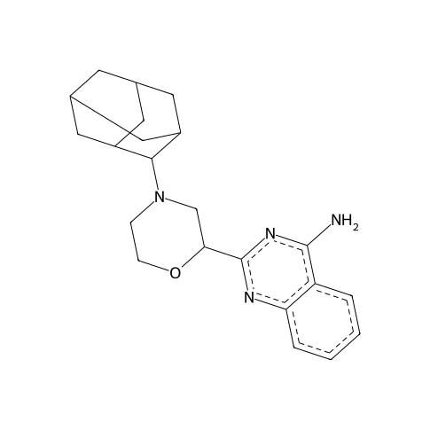 Nc1nc(C2CN(C3C4CC5CC(C4)CC3C5)CCO2)nc2ccccc12